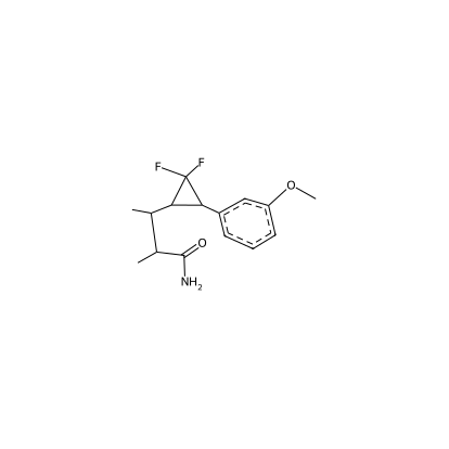 COc1cccc(C2C(C(C)C(C)C(N)=O)C2(F)F)c1